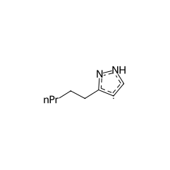 CCCCCc1[c]c[nH]n1